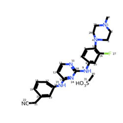 CN1CCN(c2ccc(Nc3nccc(Nc4cccc(CC#N)c4)n3)cc2F)CC1.CS(=O)(=O)O